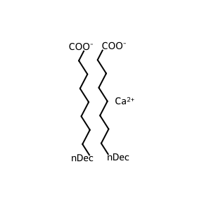 CCCCCCCCCCCCCCCCCC(=O)[O-].CCCCCCCCCCCCCCCCCC(=O)[O-].[Ca+2]